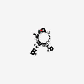 C=C[C@@H]1C[C@@]12NC(=O)[C@@H]1C[C@@H](OC(=O)N3Cc4cccc(F)c4C3)CN1C(=O)[C@@H](NC(=O)NC1CCCC1)CCCCCCCNc1ccccc1S(=O)(=O)NC2=O